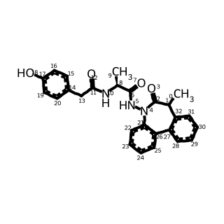 CC1C(=O)N(NC(=O)[C@H](C)NC(=O)Cc2ccc(O)cc2)c2ccccc2-c2ccccc21